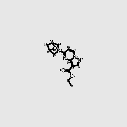 CCOC(=O)c1cnn2ccc(N3CC4CC(C3)O4)nc12